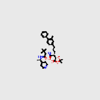 Cc1cc(CCC[C@@H](C(=O)N[C@H](C(=O)N[C@H](C)c2ccncc2)C(C)(C)C)[C@@H]2OC(C)(C)OC2=O)ccc1-c1ccccc1